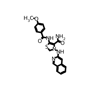 COc1ccc(C(=O)NC2=C(C(N)=O)N(Nc3cc4ccccc4cn3)CS2)cc1